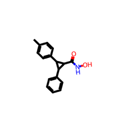 Cc1ccc(C2C(C(=O)NO)C2c2ccccc2)cc1